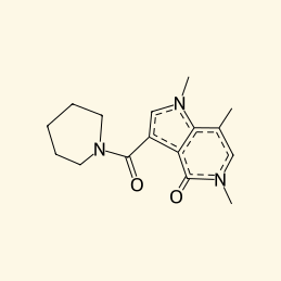 Cc1cn(C)c(=O)c2c(C(=O)N3CCCCC3)cn(C)c12